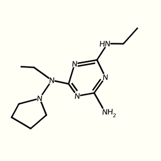 CCNc1nc(N)nc(N(CC)N2CCCC2)n1